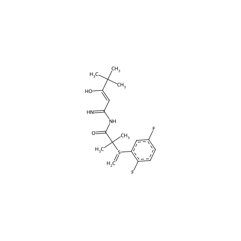 C=S(c1cc(F)ccc1F)C(C)(C)C(=O)NC(=N)/C=C(\O)C(C)(C)C